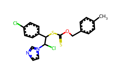 Cc1ccc(COC(=S)SC(c2ccc(Cl)cc2)C(Cl)n2ccnc2)cc1